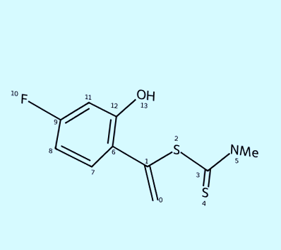 C=C(SC(=S)NC)c1ccc(F)cc1O